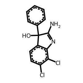 NC1=Nc2c(ccc(Cl)c2Cl)C1(O)c1ccccc1